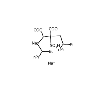 CCCC(CC)CC(C(=O)[O-])C(CC(CC)CCC)(C(=O)[O-])S(=O)(=O)O.[Na+].[Na+]